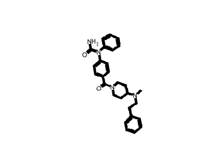 CN(CCc1ccccc1)C1CCN(C(=O)c2ccc(N(C(N)=O)c3ccccc3)cc2)CC1